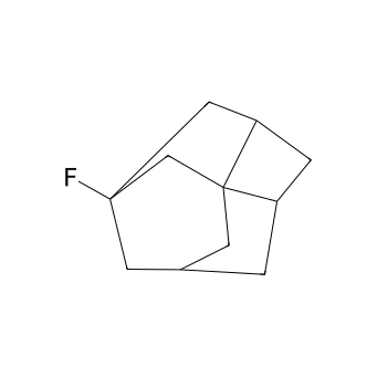 FC12CC3CC4CC(C1)C4(C3)C2